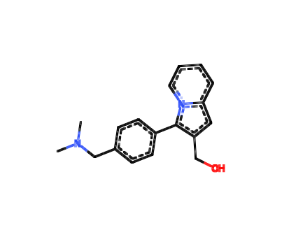 CN(C)Cc1ccc(-c2c(CO)cc3ccccn23)cc1